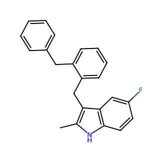 Cc1[nH]c2ccc(F)cc2c1Cc1ccccc1Cc1ccccc1